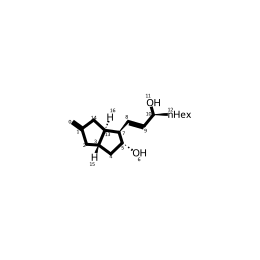 C=C1C[C@H]2C[C@@H](O)[C@H](/C=C/[C@@H](O)CCCCCC)[C@@H]2C1